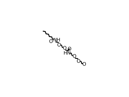 CCCCCCC(=O)NCCOCCOCC(=O)NCCOCCOCC=O